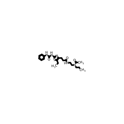 CCCN(CCNC(=O)CCc1nc(NC(=O)Nc2ccccc2)sc1CC)C(C)=O